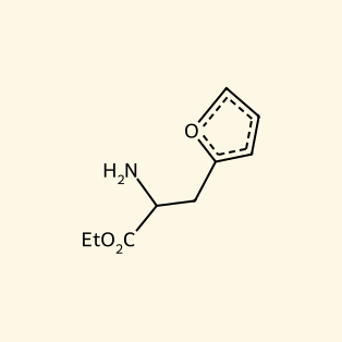 CCOC(=O)C(N)Cc1ccco1